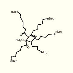 CCCCCCCCCCCCCCCC(=O)C(CCCN)[C@](C(=O)O)(C(=O)CCCCCCCCCCCCCCC)N(C(=O)CCCCCCCCCCCCCCC)C(=O)CCCCCCCCCCCCCCC